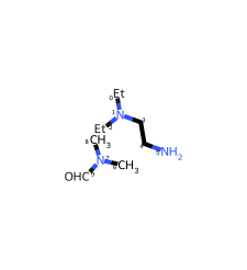 CCN(CC)CCN.CN(C)C=O